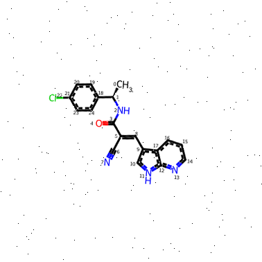 C[C@@H](NC(=O)/C(C#N)=C/c1c[nH]c2ncccc12)c1ccc(Cl)cc1